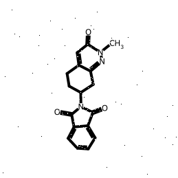 Cn1nc2c(cc1=O)CCC(N1C(=O)c3ccccc3C1=O)C2